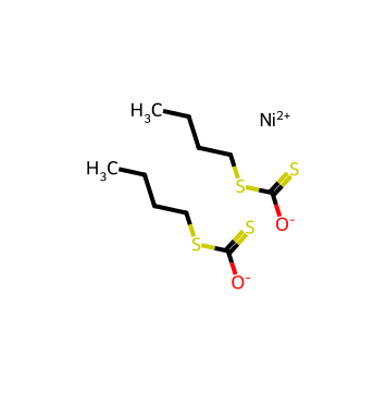 CCCCSC([O-])=S.CCCCSC([O-])=S.[Ni+2]